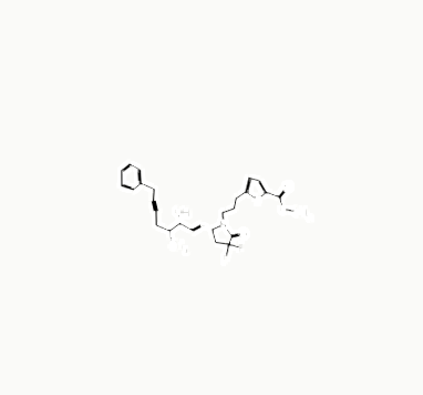 COC(=O)c1ccc(CCCN2C(=O)C(F)(F)C[C@@H]2/C=C/[C@@H](O)[C@@H](C)CC#CCc2ccccc2)s1